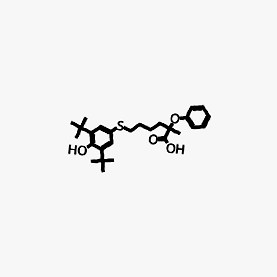 CC(CCCCSc1cc(C(C)(C)C)c(O)c(C(C)(C)C)c1)(Oc1ccccc1)C(=O)O